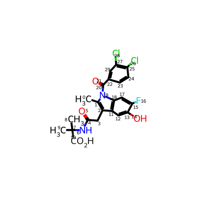 Cc1c(CC(=O)NC(C)(C)C(=O)O)c2cc(O)c(F)cc2n1C(=O)c1ccc(Cl)c(Cl)c1